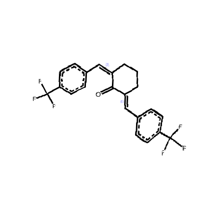 O=C1/C(=C\c2ccc(C(F)(F)F)cc2)CCC/C1=C\c1ccc(C(F)(F)F)cc1